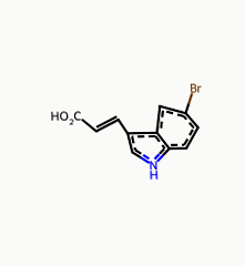 O=C(O)/C=C/c1c[nH]c2ccc(Br)cc12